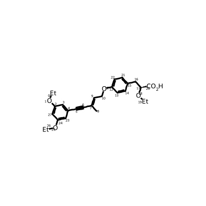 CCOc1cc(C#CC(C)=CCOc2ccc(C[C@H](OCC)C(=O)O)cc2)cc(OCC)c1